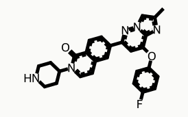 Cc1cn2nc(-c3ccc4c(=O)n(C5CCNCC5)ccc4c3)cc(Oc3ccc(F)cc3)c2n1